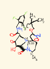 C[C@H]1CC[C@]2(CC(OCC(C)(C)C)=NO2)[C@H]2CN1C(=O)c1c(O)c(=O)c(C(=O)NCc3c(F)cc(F)cc3F)cn12